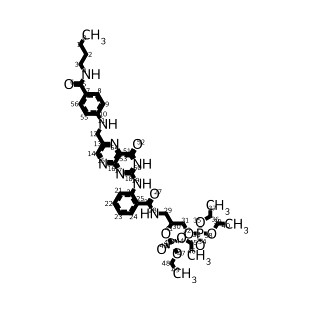 CCCCNC(=O)c1ccc(NCc2cnc3nc(Nc4ccccc4C(=O)NCC(COP(=O)(OCC)OCC)OP(=O)(OCC)OCC)[nH]c(=O)c3n2)cc1